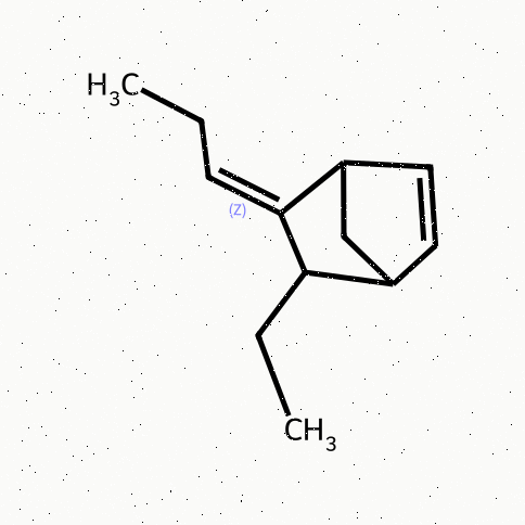 CC/C=C1\C2C=CC(C2)C1CC